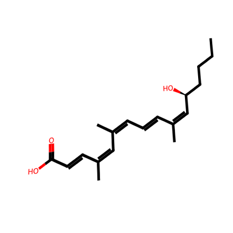 CCCC[C@H](O)C=C(C)C=CC=C(C)C=C(C)C=CC(=O)O